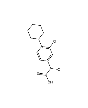 O=C(O)C(Cl)c1ccc(C2CCCCC2)c(Cl)c1